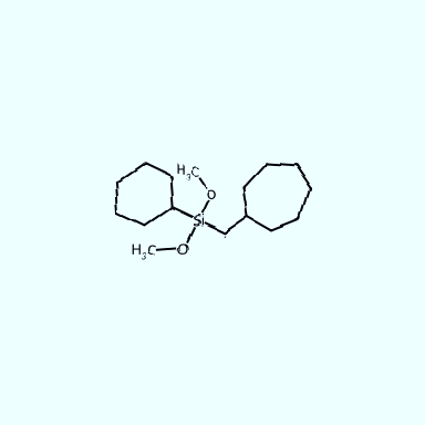 CO[Si]([CH]C1CCCCCC1)(OC)C1CCCCC1